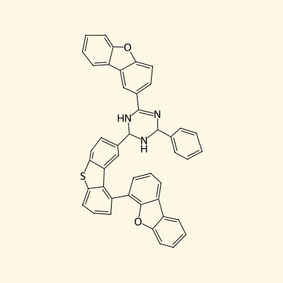 c1ccc(C2N=C(c3ccc4oc5ccccc5c4c3)NC(c3ccc4sc5cccc(-c6cccc7c6oc6ccccc67)c5c4c3)N2)cc1